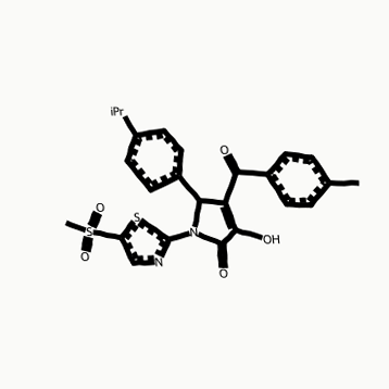 Cc1ccc(C(=O)C2=C(O)C(=O)N(c3ncc(S(C)(=O)=O)s3)C2c2ccc(C(C)C)cc2)cc1